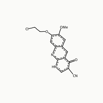 COc1cc2cc3c(=O)c(C#N)c[nH]c3nc2cc1OCCCl